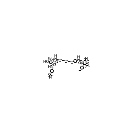 C=Cc1ccc(C2=N[C@@H](CC(=O)Nc3ccc(OCCCOCCCOCC(=O)NC(C(=O)N4C[C@H](O)C[C@H]4C(=O)NCc4ccc(-c5scnc5C)cc4)C(C)(C)C)cc3)c3nnc(C)n3-c3sc(C)c(C)c32)cc1